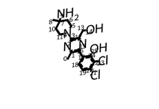 Cc1nc(N2CCC(C)(N)CC2)c(CO)nc1-c1ccc(Cl)c(Cl)c1O